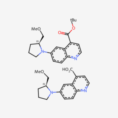 COC[C@@H]1CCCN1c1ccc2nccc(C(=O)O)c2c1.COC[C@@H]1CCCN1c1ccc2nccc(C(=O)OC(C)(C)C)c2c1